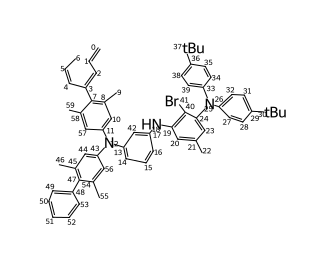 C=C/C=C(\C=C/C)c1c(C)cc(N(c2cccc(Nc3cc(C)cc(N(c4ccc(C(C)(C)C)cc4)c4ccc(C(C)(C)C)cc4)c3Br)c2)c2cc(C)c(-c3ccccc3)c(C)c2)cc1C